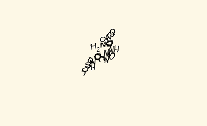 Cc1c(NC(=O)c2cc3c(s2)CCC(C)C3)cccc1-c1cn(C)c(=O)c(Nc2ccc(C(=O)N3CCOCC3)c(N)c2)n1